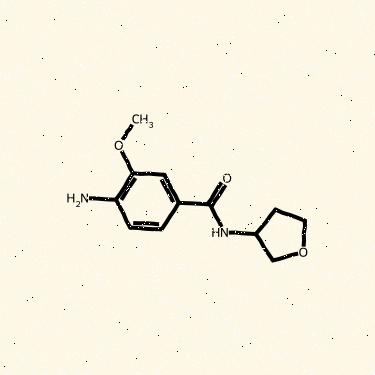 COc1cc(C(=O)NC2CCOC2)ccc1N